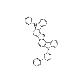 c1ccc(-c2cccc(-n3c4ccccc4c4c5sc6c(ccc7c6c6ccccc6n7-c6ccccc6)c5ccc43)c2)cc1